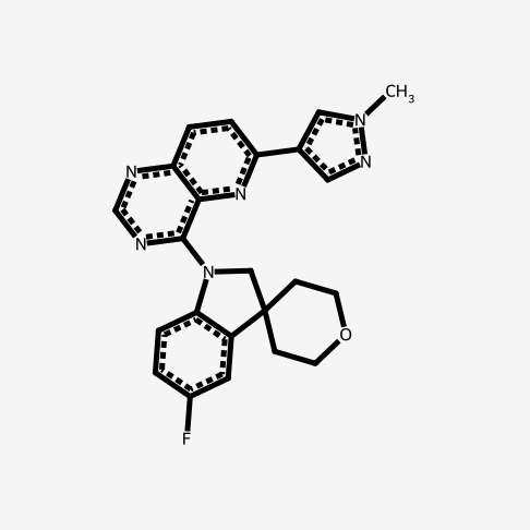 Cn1cc(-c2ccc3ncnc(N4CC5(CCOCC5)c5cc(F)ccc54)c3n2)cn1